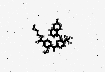 COCCNC(=O)c1ccc(Nc2ncc(C(F)(F)F)c(Oc3cccc4c3CON(C)C4)n2)c(OC)c1